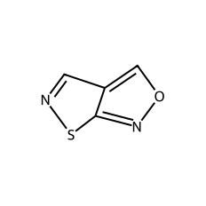 c1nsc2nocc12